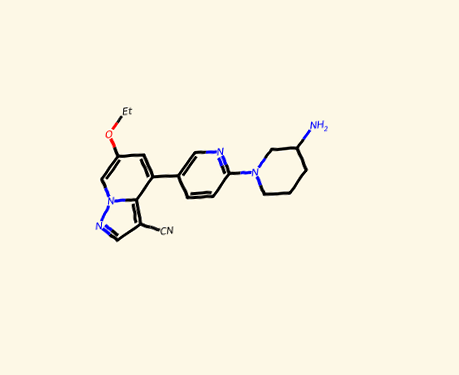 CCOc1cc(-c2ccc(N3CCCC(N)C3)nc2)c2c(C#N)cnn2c1